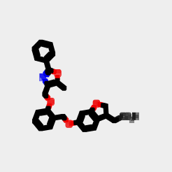 Cc1oc(-c2ccccc2)nc1COc1ccccc1COc1ccc2c(c1)OCC2CC(=O)O